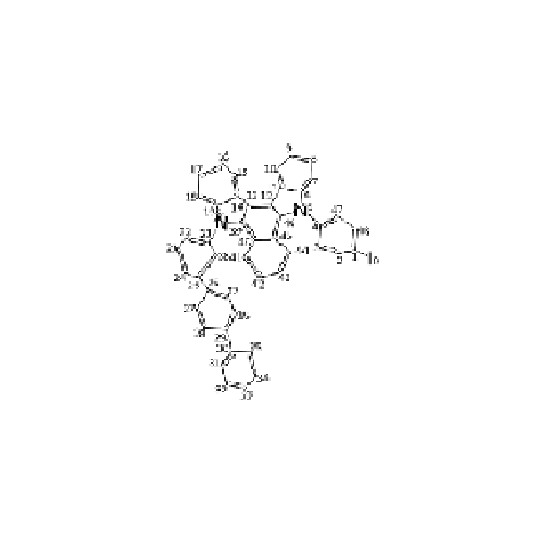 Ic1ccc(-n2c3ccccc3c3c4c5ccccc5n(-c5cccc(-c6ccc(-c7ccccc7)cc6)c5)c4c4ccccc4c32)cc1